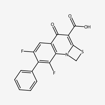 O=C(O)c1c2n(c3c(F)c(-c4ccccc4)c(F)cc3c1=O)CS2